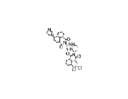 CCC(NC(C)N1C(=O)c2cccc3c(-n4ccnc4)ccc(c23)C1=O)NC(C)N1C(=O)c2cccc3c(Cl)c(Cl)cc(c23)C1=O